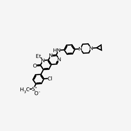 CCn1c(=O)c(-c2ccc([S+](C)[O-])cc2Cl)cc2cnc(Nc3ccc(N4CCN(C5CC5)CC4)cc3)nc21